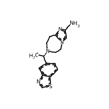 CC(c1ccc2scnc2c1)N1CCc2nc(N)cn2CC1